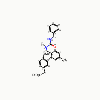 CCOC(=O)Cc1ccc(OC)c(-c2cc(C)ccc2CN(CC)C(=O)NCc2ccccc2)c1